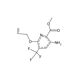 C=CCOc1nc(C(=O)OC)c(N)cc1C(F)(F)F